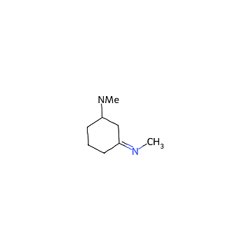 C/N=C1/CCCC(NC)C1